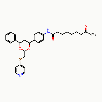 CNC(=O)CCCCCCC(=O)Nc1ccc(C2CC(c3ccccc3)OC(CSc3ccncc3)O2)cc1